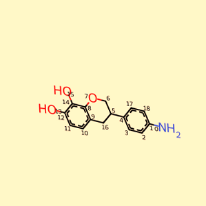 Nc1ccc(C2COc3c(ccc(O)c3O)C2)cc1